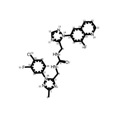 Cc1nc(CNC(=O)NCc2ncnn2-c2cc(F)c3ncccc3c2)n(-c2ccc(Cl)c(F)c2)n1